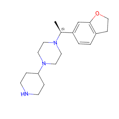 C[C@@H](c1ccc2c(c1)OCC2)N1CCN(C2CCNCC2)CC1